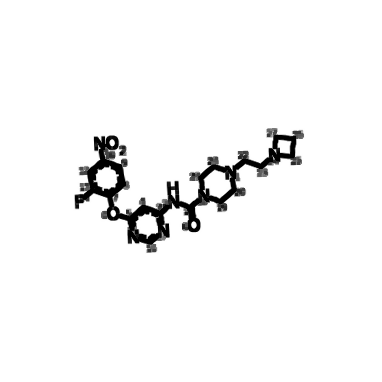 O=C(Nc1cc(Oc2ccc([N+](=O)[O-])cc2F)ncn1)N1CCN(CCN2CCC2)CC1